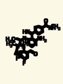 CCC(Nc1ncnc(N)c1C(=N)c1ccc(C(=O)NC)cc1)/C(=N/c1cc(F)c(F)cc1C=O)N(C)C1CC1